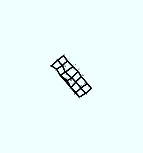 C1C2C3C4C5C6C37C3CC8CC9C%10C%11C%12C1C24C%125C%116C%107C893